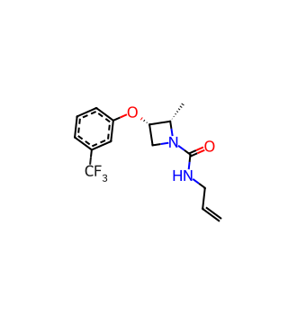 C=CCNC(=O)N1C[C@H](Oc2cccc(C(F)(F)F)c2)[C@@H]1C